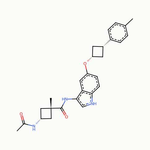 CC(=O)N[C@H]1C[C@@](C)(C(=O)Nc2c[nH]c3ccc(O[C@H]4C[C@@H](c5ccc(C)cc5)C4)cc23)C1